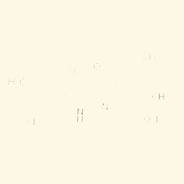 C=C(C)C(=O)NN(CO)C(=O)C(=C)C